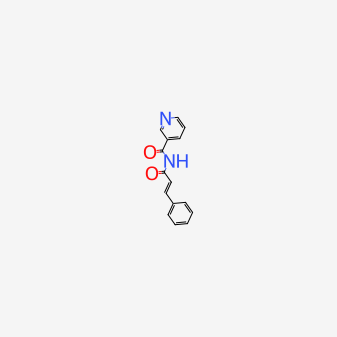 O=C(/C=C/c1ccccc1)NC(=O)c1cccnc1